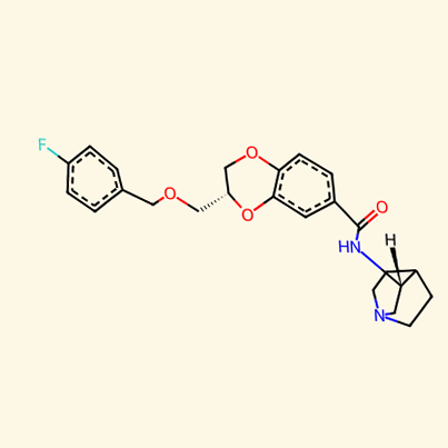 O=C(N[C@H]1CN2CCC1CC2)c1ccc2c(c1)O[C@H](COCc1ccc(F)cc1)CO2